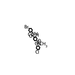 CN(c1ccc(Cl)cc1)S(=O)(=O)c1ccc(C(=O)Nc2ccc(Br)cc2C(=O)O)cc1